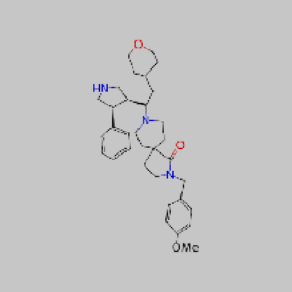 COc1ccc(CN2CCC3(CCN(C(CC4CCOCC4)[C@@H]4CNC[C@@H]4c4ccccc4)CC3)C2=O)cc1